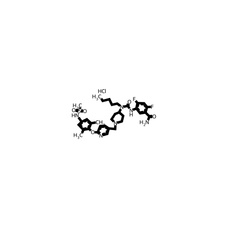 CCCCCN(C(=O)Nc1cc(C(N)=O)c(F)cc1F)C1CCN(Cc2ccc(Oc3c(C)cc(NS(C)(=O)=O)cc3C)nc2)CC1.Cl